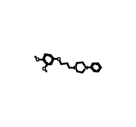 COc1ccc(OCCCN2CCN(c3ccccc3)CC2)cc1OC